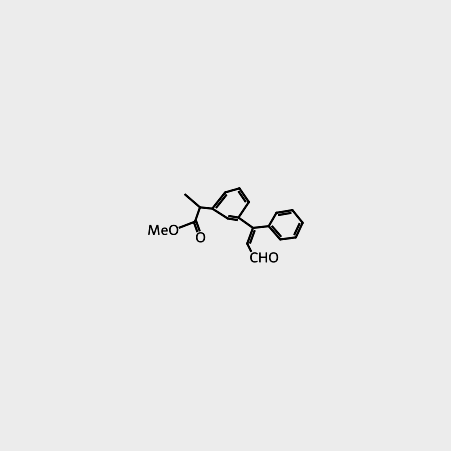 COC(=O)C(C)c1cccc(C(=CC=O)c2ccccc2)c1